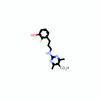 Cc1nc(NCCCc2cccc(O)c2F)nc(C)c1C(=O)O